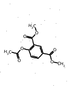 COC(=O)c1ccc(OC(C)=O)c(C(=O)OC)c1